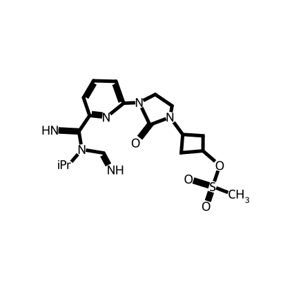 CC(C)N(C=N)C(=N)c1cccc(N2CCN(C3CC(OS(C)(=O)=O)C3)C2=O)n1